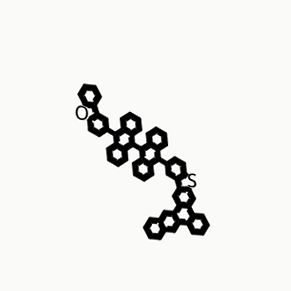 c1ccc2cc3c(cc2c1)c1ccccc1c1cc2sc4ccc(-c5c6ccccc6c(-c6c7ccccc7c(-c7ccc8oc9ccccc9c8c7)c7ccccc67)c6ccccc56)cc4c2cc31